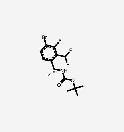 C[C@@H](NC(=O)OC(C)(C)C)c1ccc(Br)c(F)c1C(F)F